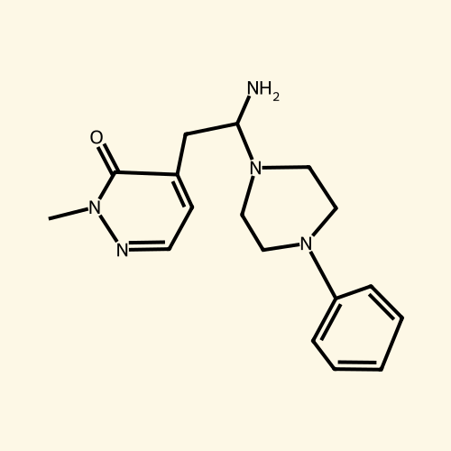 Cn1nccc(CC(N)N2CCN(c3ccccc3)CC2)c1=O